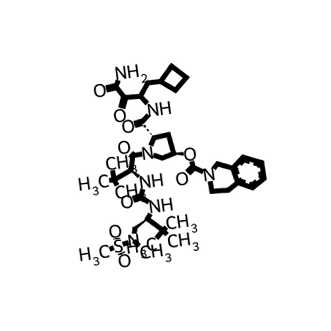 CN(C[C@@H](NC(=O)N[C@H](C(=O)N1C[C@H](OC(=O)N2CCc3ccccc3C2)C[C@H]1C(=O)NC(CC1CCC1)C(=O)C(N)=O)C(C)(C)C)C(C)(C)C)S(C)(=O)=O